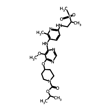 COc1c(Nc2ccc(NCC(C)S(C)(=O)=O)nc2C)ncnc1OC1CCN(C(=O)OC(C)C)CC1